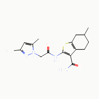 Cc1cc(C(F)(F)F)nn1CC(=O)Nc1sc2c(c1C(N)=O)CCC(C)C2